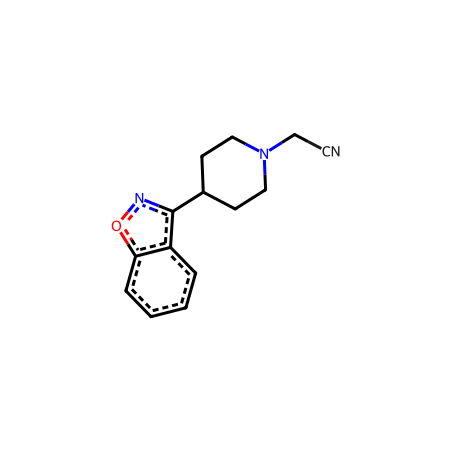 N#CCN1CCC(c2noc3ccccc23)CC1